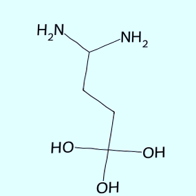 NC(N)CCC(O)(O)O